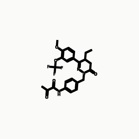 CCC1CC(=O)N(Cc2ccc(NC(=O)C(C)=O)cc2)N=C1c1ccc(OC)c(OC(F)(F)F)c1